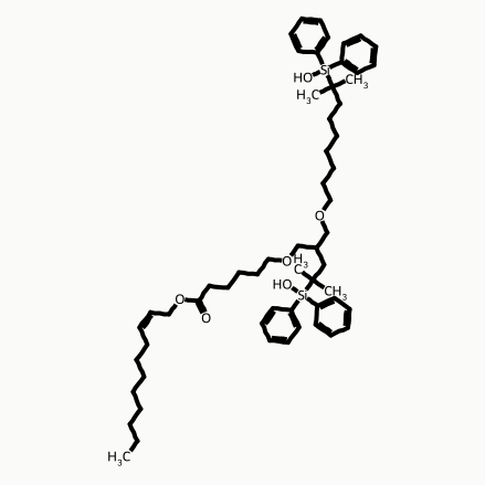 CCCCCCCC/C=C\COC(=O)CCCCCOCC(COCCCCCCCC(C)(C)[Si](O)(c1ccccc1)c1ccccc1)CC(C)(C)[Si](O)(c1ccccc1)c1ccccc1